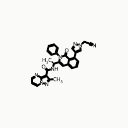 Cc1nn2cccnc2c1C(=O)N[C@@H](C)c1cc2cccc(-c3cnn(CC#N)c3)c2c(=O)n1-c1ccccc1